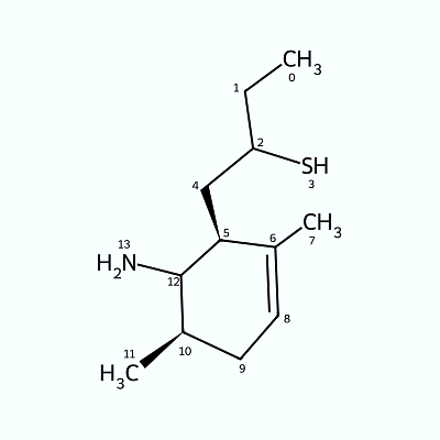 CCC(S)C[C@H]1C(C)=CC[C@@H](C)C1N